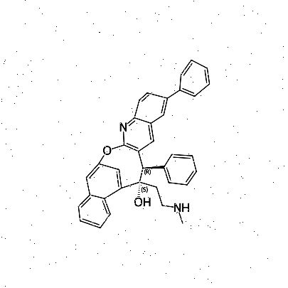 CNCC[C@@]1(O)c2cc(cc3ccccc23)Oc2nc3ccc(-c4ccccc4)cc3cc2[C@H]1c1ccccc1